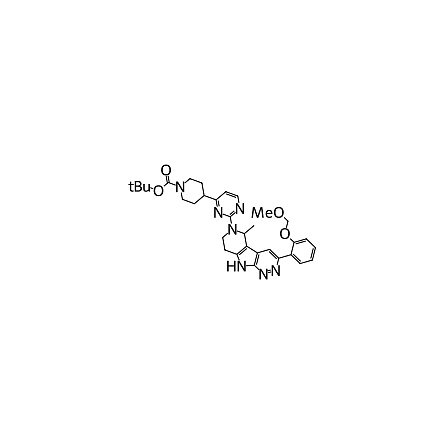 COCOc1ccccc1-c1cc2c3c([nH]c2nn1)CCN(c1nccc(C2CCN(C(=O)OC(C)(C)C)CC2)n1)C3C